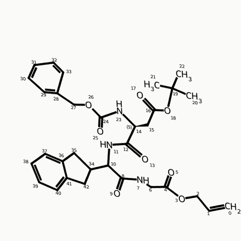 C=CCOC(=O)CNC(=O)C(NC(=O)[C@H](CC(=O)OC(C)(C)C)NC(=O)OCc1ccccc1)C1Cc2ccccc2C1